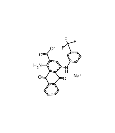 Nc1c(C(=O)[O-])cc(Nc2cccc(C(F)(F)F)c2)c2c1C(=O)c1ccccc1C2=O.[Na+]